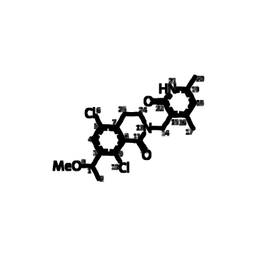 COC(C)c1cc(Cl)c2c(c1Cl)C(=O)N(Cc1c(C)cc(C)[nH]c1=O)CC2